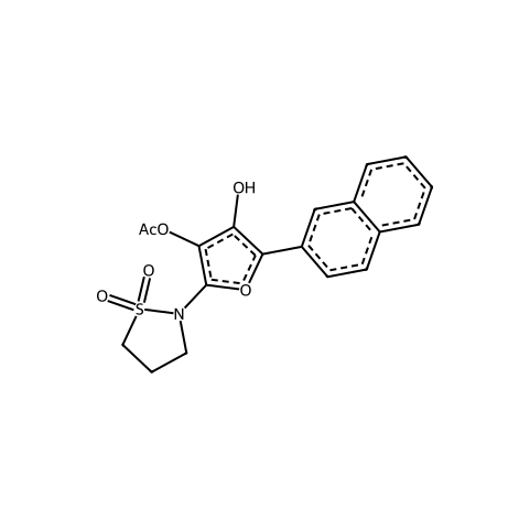 CC(=O)Oc1c(N2CCCS2(=O)=O)oc(-c2ccc3ccccc3c2)c1O